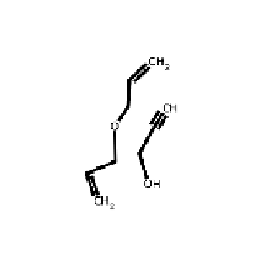 C#CCO.C=CCOCC=C